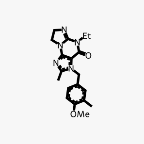 CCN1C(=O)c2c(nc(C)n2Cc2ccc(OC)c(C)c2)N2CCN=C12